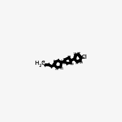 C=CCCC1=CCC(C2CCC(c3ccc(Cl)cc3)CC2)CC1